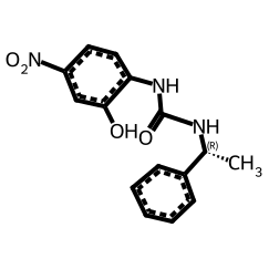 C[C@@H](NC(=O)Nc1ccc([N+](=O)[O-])cc1O)c1ccccc1